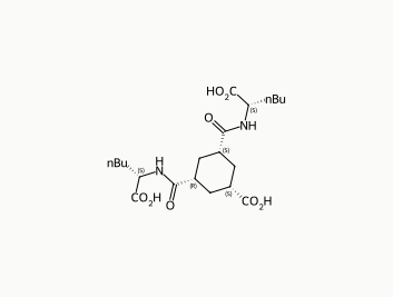 CCCC[C@H](NC(=O)[C@@H]1C[C@H](C(=O)O)C[C@H](C(=O)N[C@@H](CCCC)C(=O)O)C1)C(=O)O